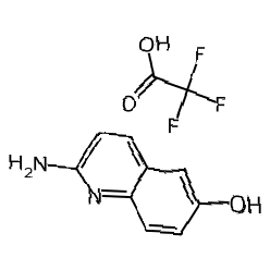 Nc1ccc2cc(O)ccc2n1.O=C(O)C(F)(F)F